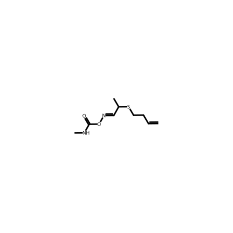 C=CCCSC(C)C=NOC(=O)NC